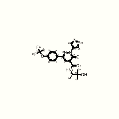 C[C@@H](NC(=O)c1cc(-c2ccc(OC(F)(F)F)cc2)nn(-c2cnsc2)c1=O)C(C)(C)O